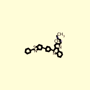 C/C=C\C=C/c1nc2c(cc1C)c(-c1ccc(-c3ccc4sc(-c5ccccc5)nc4c3)cc1)nc1ccccc12